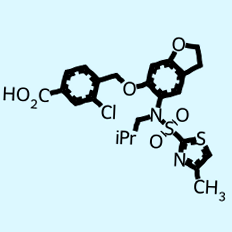 Cc1csc(S(=O)(=O)N(CC(C)C)c2cc3c(cc2OCc2ccc(C(=O)O)cc2Cl)OCC3)n1